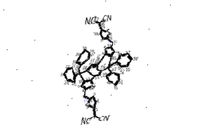 N#CC(C#N)=c1cc/c(=C\c2cc3c(s2)-c2cc4c(cc2C3(c2ccccc2)c2ccccc2)-c2sc(/C=c3\ccc(=C(C#N)C#N)s3)cc2C4(c2ccccc2)c2ccccc2)s1